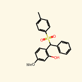 COc1ccc(C(c2ccccc2)S(=O)(=O)c2ccc(C)cc2)c(O)c1